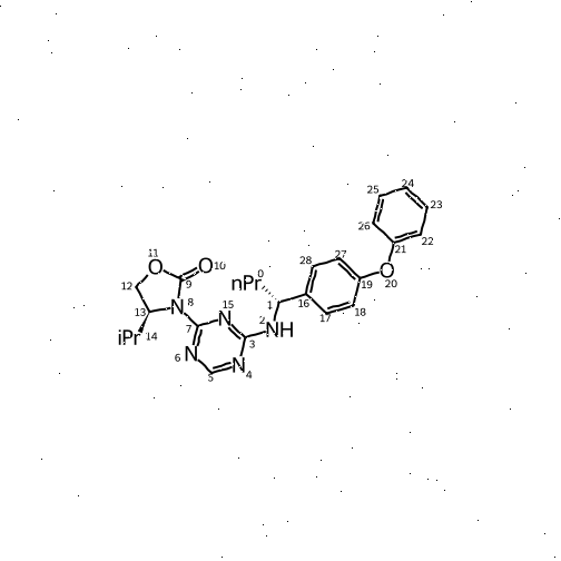 CCC[C@@H](Nc1ncnc(N2C(=O)OC[C@@H]2C(C)C)n1)c1ccc(Oc2ccccc2)cc1